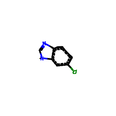 Clc1ccc2c(c1)[N]C=N2